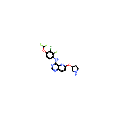 Fc1c(Nc2ncnc3ccc(O[C@H]4CCNC4)nc23)ccc(OC(F)F)c1Cl